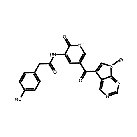 CC(C)n1cc(C(=O)c2c[nH]c(=O)c(NC(=O)Cc3ccc(C#N)cc3)c2)c2cncnc21